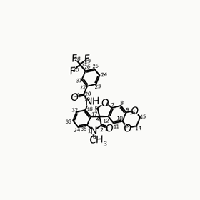 CN1C(=O)C2(COc3cc4c(cc32)OCCO4)c2c(NC(=O)c3cccc(C(F)(F)F)c3)cccc21